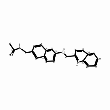 CC(=O)NCc1ccc2cc(OCc3ccc4ccccc4n3)ccc2c1